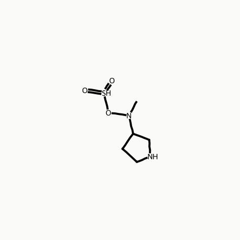 CN(O[SH](=O)=O)C1CCNC1